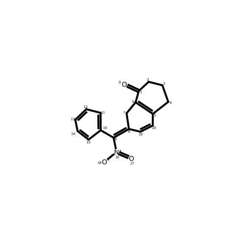 O=C1CCCC2=C1CC(=C(c1ccccc1)[N+](=O)[O-])C=C2